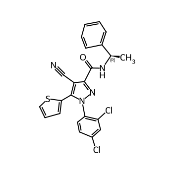 C[C@@H](NC(=O)c1nn(-c2ccc(Cl)cc2Cl)c(-c2cccs2)c1C#N)c1ccccc1